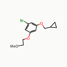 COCCOc1cc(Br)cc(OCC2CC2)c1